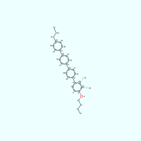 CCCCOc1ccc(-c2ccc(-c3ccc(-c4ccc(CCC)cc4)cc3)cc2)c(F)c1F